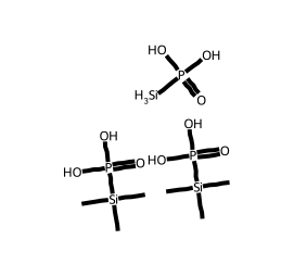 C[Si](C)(C)P(=O)(O)O.C[Si](C)(C)P(=O)(O)O.O=P(O)(O)[SiH3]